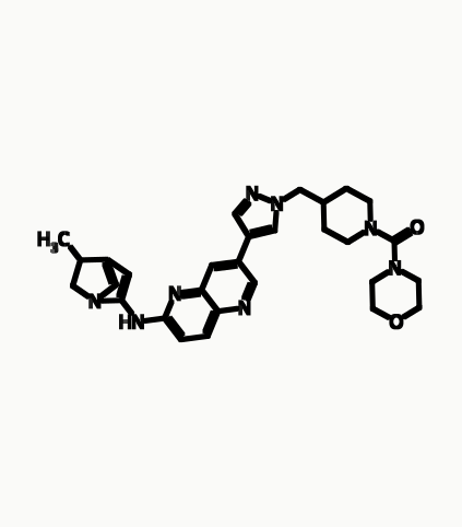 CC1Cn2cc1cc2Nc1ccc2ncc(-c3cnn(CC4CCN(C(=O)N5CCOCC5)CC4)c3)cc2n1